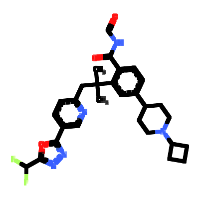 CC(C)(Cc1ccc(-c2nnc(C(F)F)o2)cn1)c1cc(C2CCN(C3CCC3)CC2)ccc1C(=O)NC=O